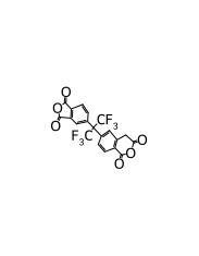 O=C1Cc2cc(C(c3ccc4c(c3)C(=O)OC4=O)(C(F)(F)F)C(F)(F)F)ccc2C(=O)O1